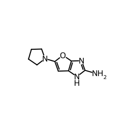 Nc1nc2oc(N3CCCC3)cc2[nH]1